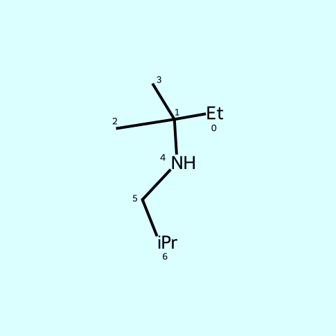 CCC(C)(C)NCC(C)C